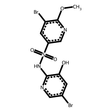 COc1ncc(S(=O)(=O)Nc2ncc(Br)cc2O)cc1Br